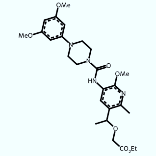 CCOC(=O)COC(C)c1cc(NC(=O)N2CCN(c3cc(OC)cc(OC)c3)CC2)c(OC)nc1C